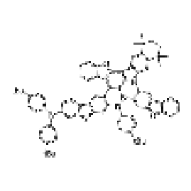 CC(C)(C)c1ccc(N2B3c4cc5oc6ccccc6c5cc4-n4c5cc6c(cc5c5c7oc8ccccc8c7c(c3c54)-c3cc4c(cc32)sc2cc(N(c3ccc(C(C)(C)C)cc3)c3ccc(C(C)(C)C)cc3)ccc24)C(C)(C)CCC6(C)C)cc1